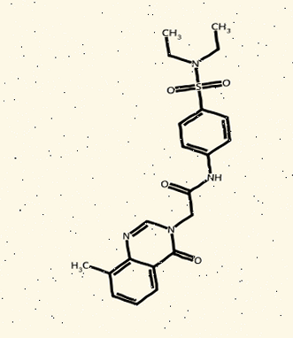 CCN(CC)S(=O)(=O)c1ccc(NC(=O)Cn2cnc3c(C)cccc3c2=O)cc1